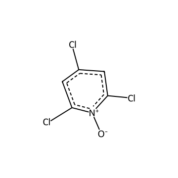 [O-][n+]1c(Cl)cc(Cl)cc1Cl